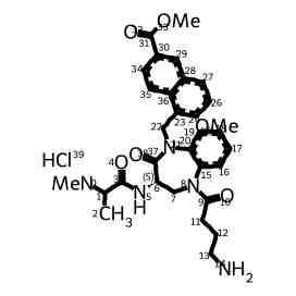 CNC(C)C(=O)N[C@H]1CN(C(=O)CCCN)c2ccccc2N(Cc2c(OC)ccc3cc(C(=O)OC)ccc23)C1=O.Cl